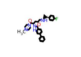 CN1CCN(C(=O)C(CCCN[C@@H]2C[C@H]2c2ccc(F)cc2)NC(=O)c2ccc(-c3ccccc3)cc2)CC1